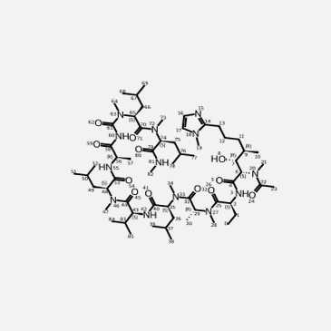 CC[C@H](NC(=O)[C@H]([C@H](O)[C@H](C)CCCc1nccn1C)N(C)C(C)=O)C(=O)N(C)[C@H](C)C(=O)N(C)[C@@H](CC(C)C)C(=O)N[C@H](C(=O)N(C)[C@@H](CC(C)C)C(=O)N[C@H](C)C(=O)NC(=O)N(C)[C@@H](CC(C)C)C(=O)N(C)[C@@H](CC(C)C)C(=O)NC)C(C)C